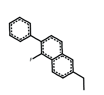 CCc1ccc2c(F)c(-c3ccccc3)ccc2c1